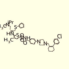 Cc1cc(S(=O)(=O)NC(=O)c2ccc(N3CCN(CC4=C(c5ccc(Cl)cc5)CCCC4)CC3)cc2)sc1N[C@H](CCN(C)C(C)C)CSc1ccccc1